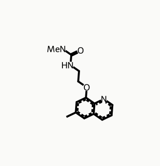 CNC(=O)NCCOc1cc(C)cc2cccnc12